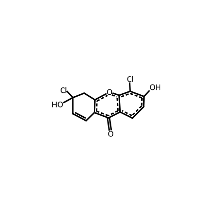 O=c1c2c(oc3c(Cl)c(O)ccc13)CC(O)(Cl)C=C2